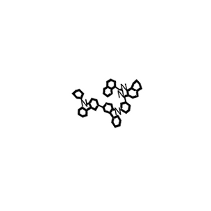 c1ccc(-n2c3ccccc3c3cc(-c4ccc5c(c4)c4ccccc4n5-c4cccc(-c5nc(-c6cccc7ccccc67)nc6c5ccc5ccccc56)c4)ccc32)cc1